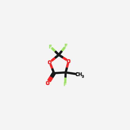 CC1(F)OC(F)(F)OC1=O